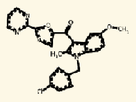 COc1ccc2c(c1)c(C(=O)c1cnc(-c3ncccn3)o1)c(C)n2Cc1ccc(Cl)cc1